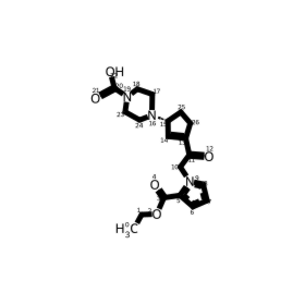 CCOC(=O)c1cccn1CC(=O)C1=C[C@H](N2CCN(C(=O)O)CC2)CC1